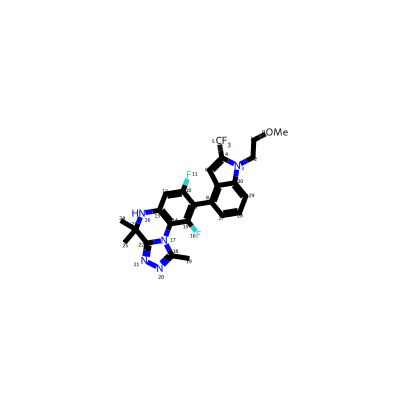 COCCn1c(C(F)(F)F)cc2c(-c3c(F)cc4c(c3F)-n3c(C)nnc3C(C)(C)N4)cccc21